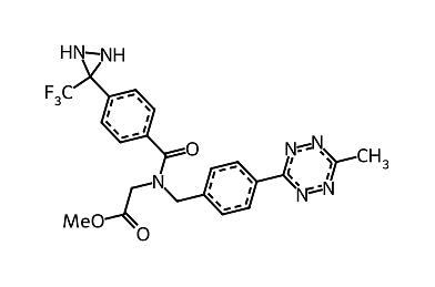 COC(=O)CN(Cc1ccc(-c2nnc(C)nn2)cc1)C(=O)c1ccc(C2(C(F)(F)F)NN2)cc1